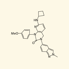 COc1ccc(N2C(=O)N(c3ccc4nn(C)cc4c3)Cc3ccc(NC4CCC4)nc32)cc1